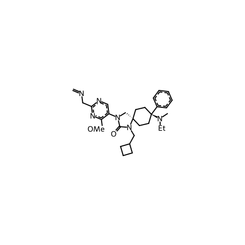 C=NCc1ncc(N2C[C@]3(CC[C@](c4ccccc4)(N(C)CC)CC3)N(CC3CCC3)C2=O)c(OC)n1